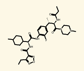 CCC(=O)N[C@@H](C(=O)N1CCN(C)CC1)[C@@H](C)c1ccc(NC(=O)[C@@H](NC(=O)c2nonc2CC)C2CCC(C)CC2)c(F)c1